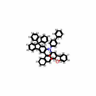 c1ccc(-c2ccc(N(c3ccc4oc5ccccc5c4c3)c3cc4c(cc3-c3cccc5c3CCCC5)-c3ccccc3C4(c3ccccc3)c3ccccc3)cc2)cc1